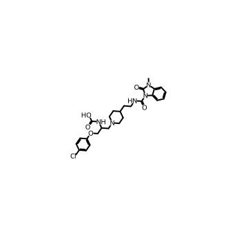 Cn1c(=O)n(C(=O)NCCC2CCN(CC(COc3ccc(Cl)cc3)NC(=O)O)CC2)c2ccccc21